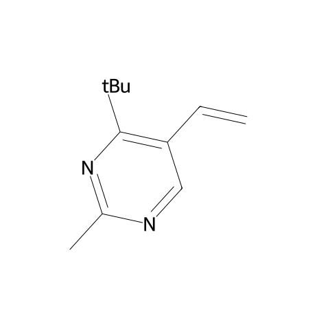 C=Cc1cnc(C)nc1C(C)(C)C